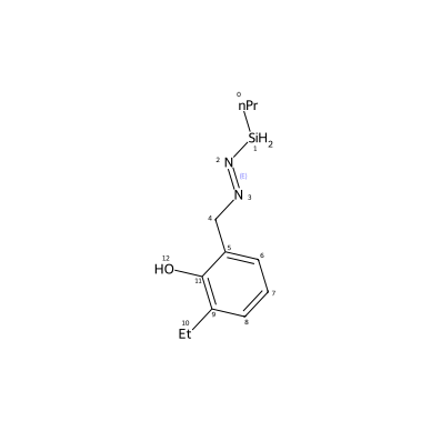 CCC[SiH2]/N=N/Cc1cccc(CC)c1O